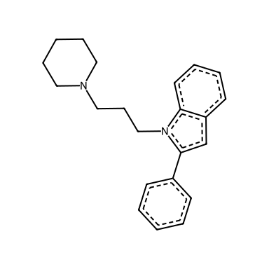 c1ccc(-c2cc3ccccc3n2CCCN2CCCCC2)cc1